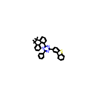 CC1(C)c2ccccc2-c2c(-c3nc(-c4ccccc4)nc(-c4ccc5sc6ccccc6c5c4)n3)cccc2C1(C)C